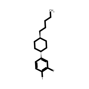 CCCCC[C@H]1CC[C@H](c2ccc(I)c(F)c2)CC1